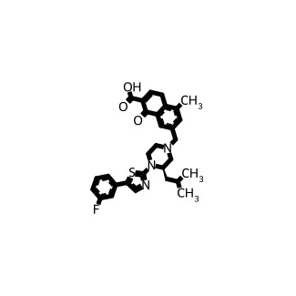 Cc1cc(CN2CCN(c3ncc(-c4cccc(F)c4)s3)[C@H](CC(C)C)C2)cc2c1CC=C(C(=O)O)C2=O